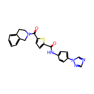 O=C(Nc1ccc(-n2cncn2)cc1)c1ccc(C(=O)N2CCc3ccccc3C2)s1